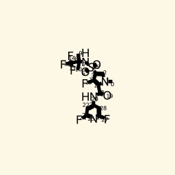 Cn1cc(S(=O)(=O)NC(C)(C)C(F)(F)F)c(F)c1C(=O)Nc1cc(F)nc(F)c1